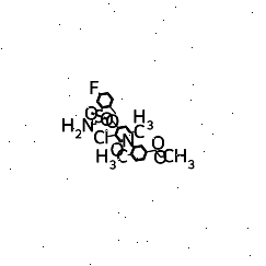 COC(=O)c1ccc(C)c(-n2c(C)cc(OCc3ccc(F)cc3S(=O)(=O)CN)c(Cl)c2=O)c1